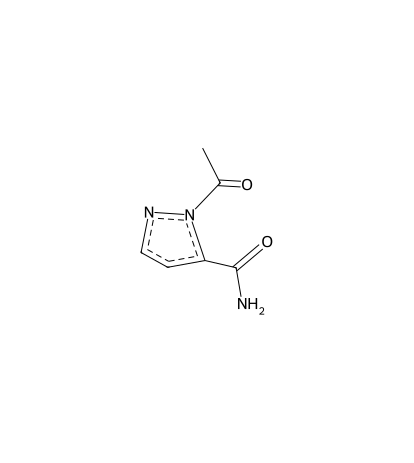 CC(=O)n1nccc1C(N)=O